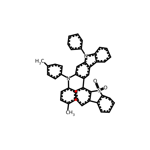 Cc1ccc(N(c2ccc(C)cc2)c2cc3c(cc2-c2cccc4c2S(=O)(=O)c2ccccc2-4)c2ccccc2n3-c2ccccc2)cc1